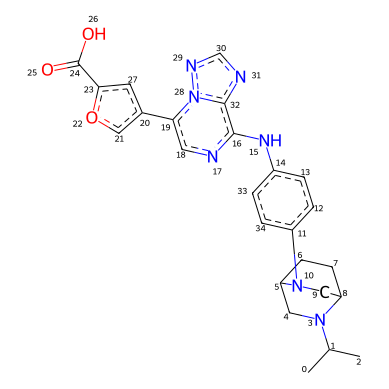 CC(C)N1CC2CCC1CN2c1ccc(Nc2ncc(-c3coc(C(=O)O)c3)n3ncnc23)cc1